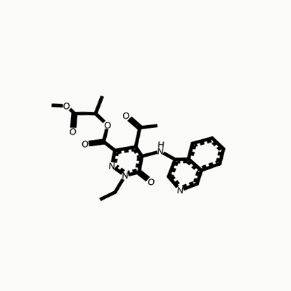 CCn1nc(C(=O)OC(C)C(=O)OC)c(C(C)=O)c(Nc2cncc3ccccc23)c1=O